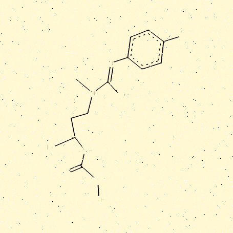 CCC(CCN(C)/C(=N/c1ccc(Cl)cc1)SC)NC(=O)OC(C)(C)C